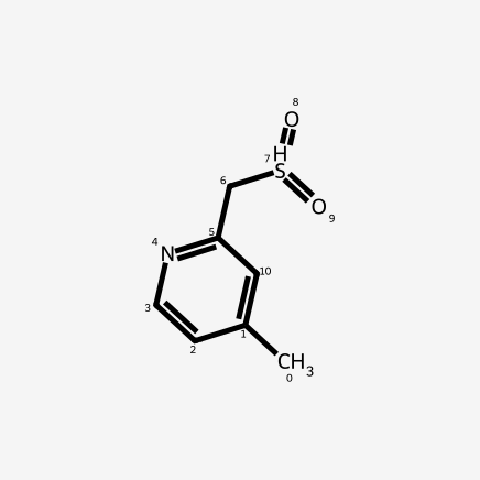 Cc1[c]cnc(C[SH](=O)=O)c1